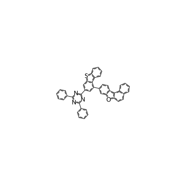 c1ccc(-c2nc(-c3ccccc3)nc(-c3cc(-c4ccc5c(c4)oc4ccc6ccccc6c45)c4c(c3)sc3ccccc34)n2)cc1